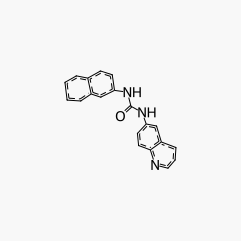 O=C(Nc1ccc2ccccc2c1)Nc1ccc2ncccc2c1